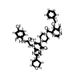 CCc1c(N2CCN(C(=O)c3ncnc(C)c3OCc3ccccc3)CC2)c(=O)n2nc(C3=CCOCC3)nc2n1CC(=O)Nc1ccc(C(F)(F)F)cc1F